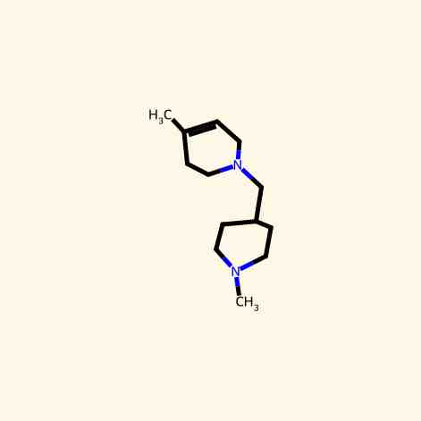 CC1=CCN(CC2CCN(C)CC2)CC1